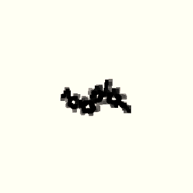 CN(C)C1CCN(c2cccc(-n3cnc(Nc4cnc(C#N)cn4)c3)c2)C1